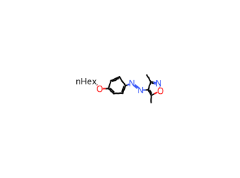 CCCCCCOc1ccc(N=Nc2c(C)noc2C)cc1